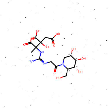 CC(NC(N)=NCC(=O)N1C[C@H](O)[C@@H](O)[C@H](O)[C@H]1CO)(C(=O)O)C(O)(CC(=O)O)C(=O)O